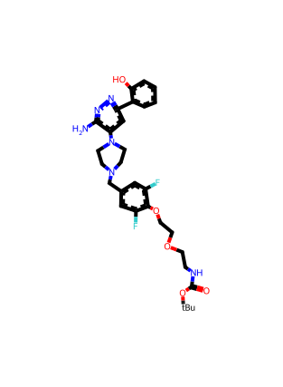 CC(C)(C)OC(=O)NCCOCCOc1c(F)cc(CN2CCN(c3cc(-c4ccccc4O)nnc3N)CC2)cc1F